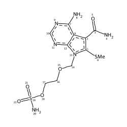 CSc1c(C(N)=O)c2c(N)ncnc2n1COCCOS(N)(=O)=O